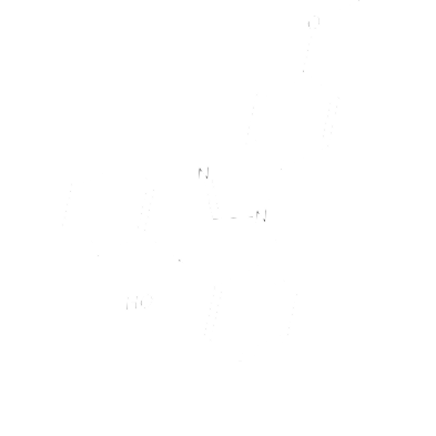 COc1ccc2c(c1)nc(C(O)(c1ccccc1)c1ccccc1)n2C